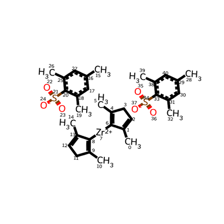 CC1=CCC(C)=[C]1[Zr+2][C]1=C(C)CC=C1C.Cc1cc(C)c(S(=O)(=O)[O-])c(C)c1.Cc1cc(C)c(S(=O)(=O)[O-])c(C)c1